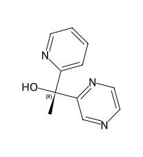 C[C@@](O)(c1ccccn1)c1cnccn1